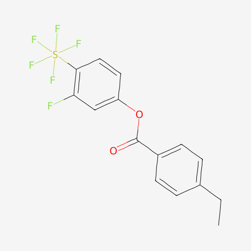 CCc1ccc(C(=O)Oc2ccc(S(F)(F)(F)(F)F)c(F)c2)cc1